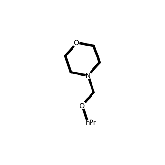 CCCOCN1CCOCC1